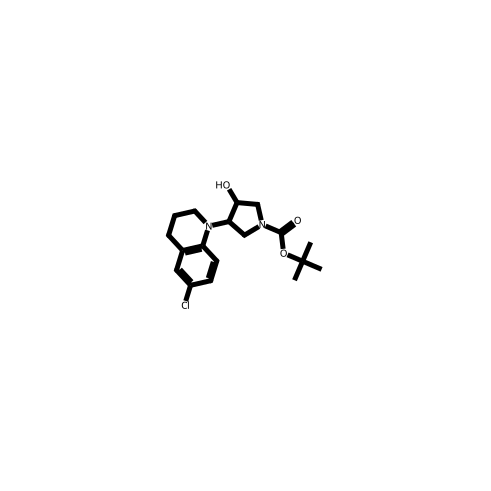 CC(C)(C)OC(=O)N1CC(O)C(N2CCCc3cc(Cl)ccc32)C1